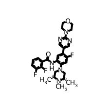 C[C@@H]1CN(c2cc(F)c(-c3cnc(N4CCOCC4)nc3)cc2NC(=O)c2cccc(F)c2F)C[C@H](C)N1C